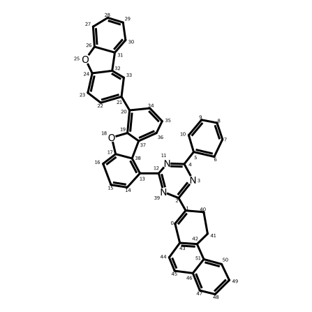 C1=C(c2nc(-c3ccccc3)nc(-c3cccc4oc5c(-c6ccc7oc8ccccc8c7c6)cccc5c34)n2)CCc2c1ccc1ccccc21